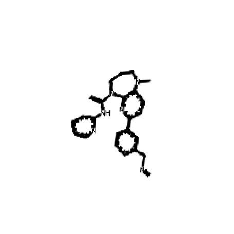 C=NCc1cccc(-c2ccc3c(n2)N(C(=C)Nc2ccccn2)CCCN3C)c1